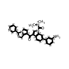 CN(C)C(=O)n1cc(C(=O)c2ccn3c2CSC3c2cccnc2)c2ccc(-c3cccc(N)c3)cc21